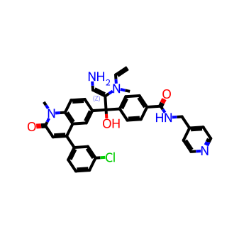 C=CN(C)/C(=C\N)C(O)(c1ccc(C(=O)NCc2ccncc2)cc1)c1ccc2c(c1)c(-c1cccc(Cl)c1)cc(=O)n2C